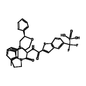 Cc1cccc(CC(NC(=O)c2cc3cc(C(F)(F)P(=O)(O)O)ccc3s2)C(=O)N2CCC[C@H]2C(=O)N2CCO[C@H](c3ccccc3)C2)c1